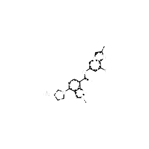 CCN[C@H]1CCN(c2ccc(C(=O)Nc3cc(F)c4nc(C)cn4c3)c3nn(C)cc23)C1